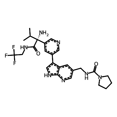 CC(C)[C@](N)(C(=O)NCC(F)(F)F)c1cncc(-c2c[nH]c3ncc(CNC(=O)N4CCCC4)cc23)c1